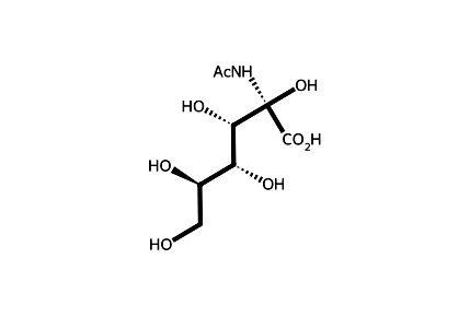 CC(=O)N[C@](O)(C(=O)O)[C@@H](O)[C@H](O)[C@H](O)CO